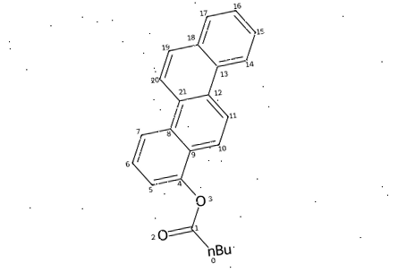 CCCCC(=O)Oc1cccc2c1ccc1c3ccccc3ccc21